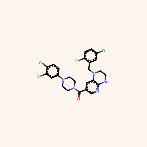 O=C(c1cnc2c(c1)N(Cc1cc(Cl)ccc1Cl)CCN2)N1CCN(c2ccc(Cl)c(Cl)c2)CC1